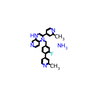 Cc1cc(C2=CNc3cnccc3N2Cc2ccc(-c3ccnc(C)c3)c(F)c2)ccn1.N